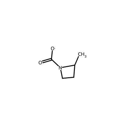 CC1CCN1C([O])=O